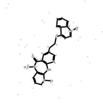 CCN1CC=CC2=C1Nc1ncc(CCOc3cc[n+]([O-])c4ccccc34)cc1C(=O)N2C